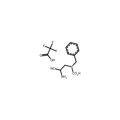 N#CC(N)CN(Cc1ccccc1)C(=O)O.O=C(O)C(F)(F)F